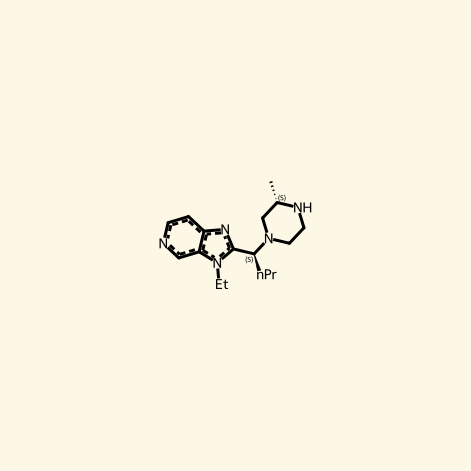 CCC[C@@H](c1nc2ccncc2n1CC)N1CCN[C@@H](C)C1